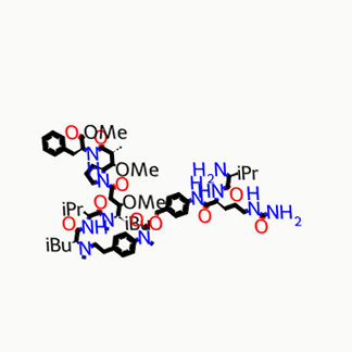 CC[C@@H](C)[C@@H](C(=O)N[C@H](C(=O)N(C)[C@@H]([C@@H](C)CC)[C@@H](CC(=O)N1CCC[C@H]1[C@H](OC)[C@@H](C)C(=O)N[C@@H](Cc1ccccc1)C(=O)OC)OC)C(C)C)N(C)CCc1ccc(N(C)C(=O)OCc2ccc(NC(=O)[C@H](CCCNC(N)=O)NC(=O)[C@@H](N)C(C)C)cc2)cc1